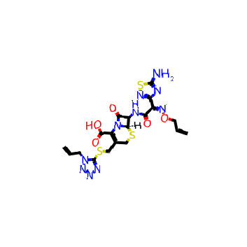 C=CCO/N=C(\C(=O)NC1C(=O)N2C(C(=O)O)=C(CSc3nnnn3CC=C)CS[C@H]12)c1nsc(N)n1